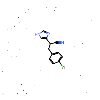 N#CC(Cc1ccc(Cl)cc1)c1c[nH]cn1